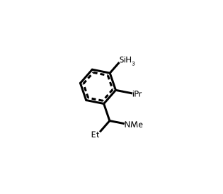 CCC(NC)c1cccc([SiH3])c1C(C)C